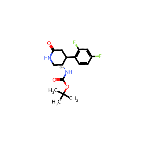 CC(C)(C)OC(=O)N[C@@H]1CNC(=O)CC1c1ccc(F)cc1F